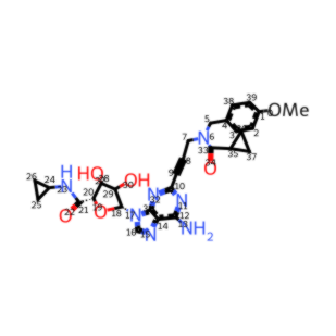 COc1ccc(CN(CC#Cc2nc(N)c3ncn([C@@H]4O[C@H](C(=O)NC5CC5)[C@@H](O)C4O)c3n2)C(=O)C2CC2)cc1